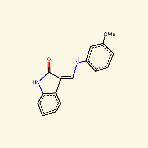 COc1cccc(NC=C2C(=O)Nc3ccccc32)c1